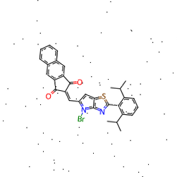 CC(C)c1cccc(C(C)C)c1-c1nc2c(cc(C=C3C(=O)c4cc5ccccc5cc4C3=O)n2Br)s1